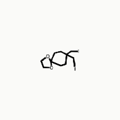 ICC1(CI)CCC2(CC1)OCCO2